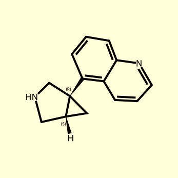 c1cc([C@]23CNC[C@H]2C3)c2cccnc2c1